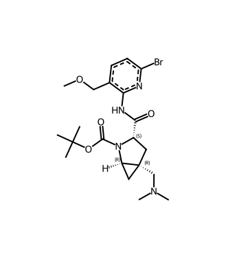 COCc1ccc(Br)nc1NC(=O)[C@@H]1C[C@@]2(CN(C)C)C[C@H]2N1C(=O)OC(C)(C)C